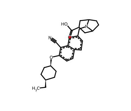 CC[C@H]1CC[C@@H](Oc2ccc3ccc(CN4C5CCC4CC(C(=O)O)C5)cc3c2C#N)CC1